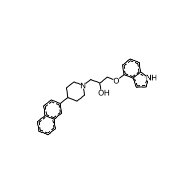 OC(COc1cccc2[nH]ccc12)CN1CCC(c2ccc3ccccc3c2)CC1